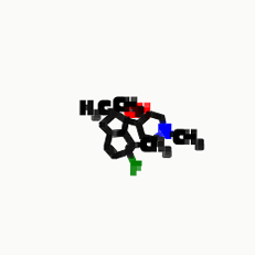 Cc1c(F)ccc2c1C(O)(C1CCN(C)CC1)C(C)(C)C2